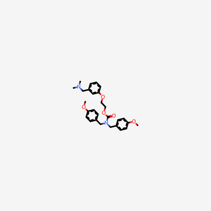 COc1ccc(CN(Cc2ccc(OC)cc2)C(=O)OCCOc2cccc(CN(C)C)c2)cc1